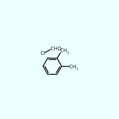 Cc1ccccc1C.O=CCl